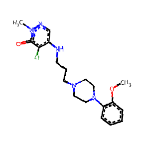 COc1ccccc1N1CCN(CCCNc2cnn(C)c(=O)c2Cl)CC1